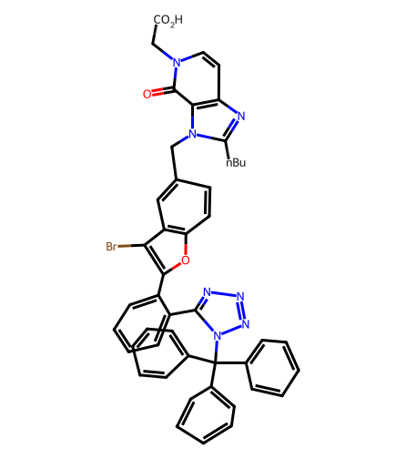 CCCCc1nc2ccn(CC(=O)O)c(=O)c2n1Cc1ccc2oc(-c3ccccc3-c3nnnn3C(c3ccccc3)(c3ccccc3)c3ccccc3)c(Br)c2c1